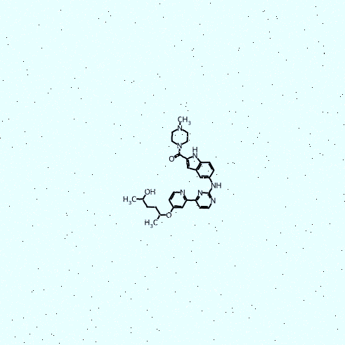 CC(O)CCC(C)Oc1ccnc(-c2ccnc(Nc3ccc4[nH]c(C(=O)N5CCN(C)CC5)cc4c3)n2)c1